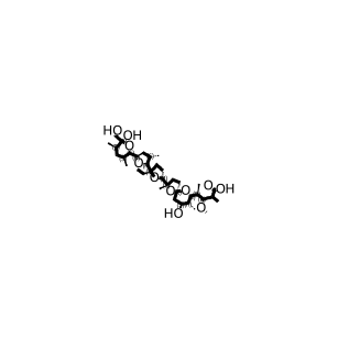 CC[C@@]1([C@@H]2O[C@@H]([C@H]3O[C@@](O)(CO)[C@H](C)C[C@@H]3C)C[C@@H]2C)CC[C@H]([C@]2(C)CC[C@]3(C[C@H](O)[C@@H](C)[C@@H]([C@@H](C)[C@@H](OC)C(C)C(=O)O)O3)O2)O1